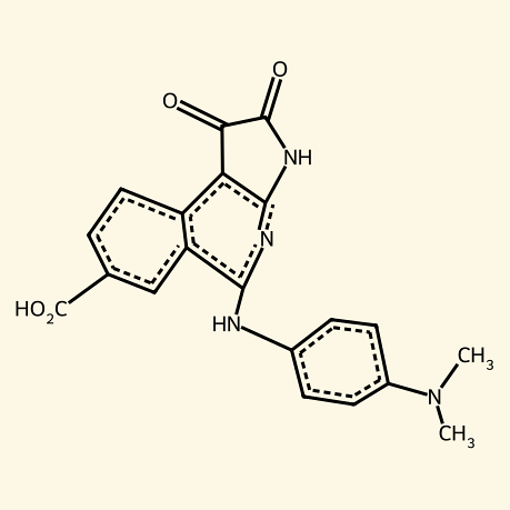 CN(C)c1ccc(Nc2nc3c(c4ccc(C(=O)O)cc24)C(=O)C(=O)N3)cc1